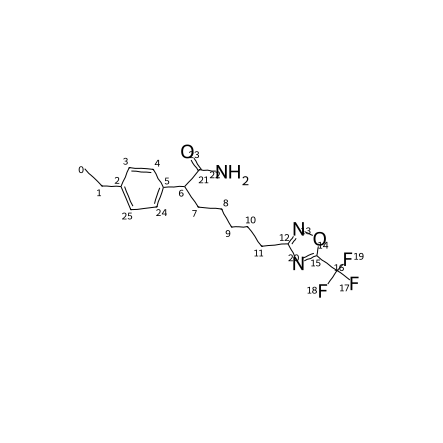 CCc1ccc(C(CCCCCc2noc(C(F)(F)F)n2)C(N)=O)cc1